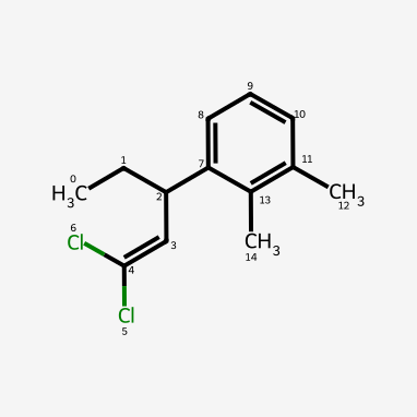 CCC(C=C(Cl)Cl)c1cccc(C)c1C